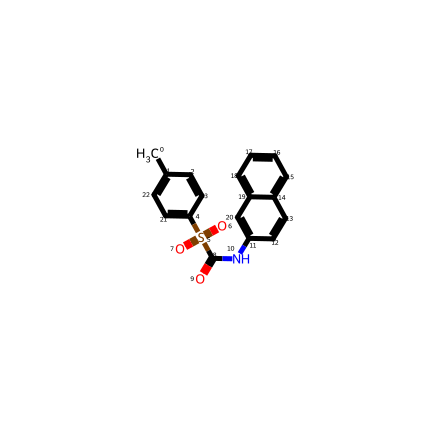 Cc1ccc(S(=O)(=O)C(=O)Nc2ccc3ccccc3c2)cc1